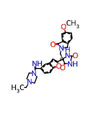 CCN1CCN(C(=N)c2ccc3oc([C@]4(CN5Cc6ccc(OC)cc6C5=O)NC(=O)NC4=O)cc3c2)CC1